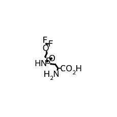 N=S(=O)(CCOC(F)F)CC[C@H](N)C(=O)O